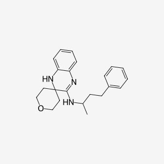 CC(CCc1ccccc1)NC1=Nc2ccccc2NC12CCOCC2